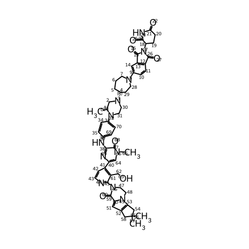 C[C@H]1CN([C@@H]2CCCN(c3ccc4c(c3)C(=O)N(C3CCC(=O)NC3=O)C4=O)CC2)CCN1c1ccc(Nc2nc(-c3ccnc(N4CCn5c(cc6c5CC(C)(C)C6)C4=O)c3CO)cn(C)c2=O)cc1